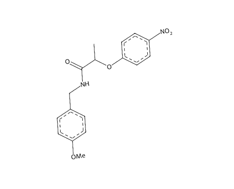 COc1ccc(CNC(=O)C(C)Oc2ccc([N+](=O)[O-])cc2)cc1